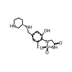 O=C1CN(c2c(O)cc(CN[C@@H]3CCCNC3)cc2F)S(=O)(=O)N1